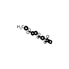 Cc1ccc(OC(=O)c2ccc3cc(OC(=O)c4ccc(N5C(=O)C6C7CCC(C7)C6C5=O)cc4)ccc3c2)cc1